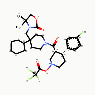 CC1(C)COC(=O)N1CC1(C2CCCCC2)CCN(C(=O)[C@@H]2CN(OC(=O)C(F)(F)F)CC[C@H]2c2ccc(F)cc2)CC1